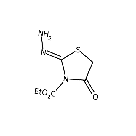 CCOC(=O)N1C(=O)CSC1=NN